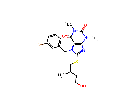 CC(CCO)CSc1nc2c(c(=O)n(C)c(=O)n2C)n1Cc1cccc(Br)c1